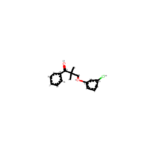 CC(C)(COc1cccc(Cl)c1)C(=O)c1ccccc1